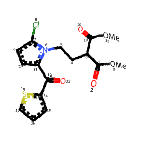 COC(=O)C(CCn1c(Cl)ccc1C(=O)c1cccs1)C(=O)OC